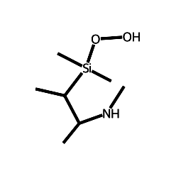 CNC(C)C(C)[Si](C)(C)OO